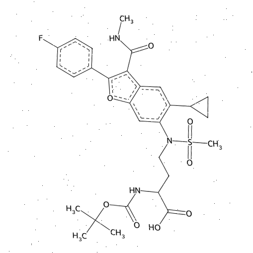 CNC(=O)c1c(-c2ccc(F)cc2)oc2cc(N(CCC(NC(=O)OC(C)(C)C)C(=O)O)S(C)(=O)=O)c(C3CC3)cc12